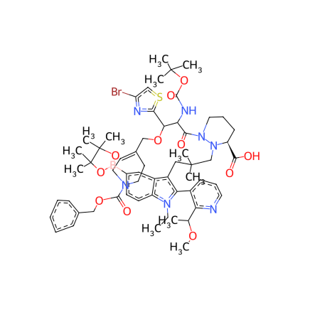 CCn1c(-c2cccnc2C(C)OC)c(CC(C)(C)CN2[C@H](C(=O)O)CCCN2C(=O)C(NC(=O)OC(C)(C)C)C(OCC2=CCN(C(=O)OCc3ccccc3)CC2)c2nc(Br)cs2)c2cc(B3OC(C)(C)C(C)(C)O3)ccc21